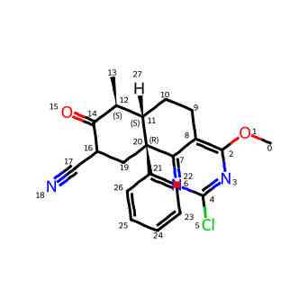 COc1nc(Cl)nc2c1CC[C@H]1[C@H](C)C(=O)C(C#N)C[C@@]21c1ccccc1